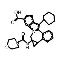 O=C(O)c1ccc2c(C3CCCCC3)c3n(c2c1)CC1(NC(=O)N2CCOCC2)CC1c1ccccc1-3